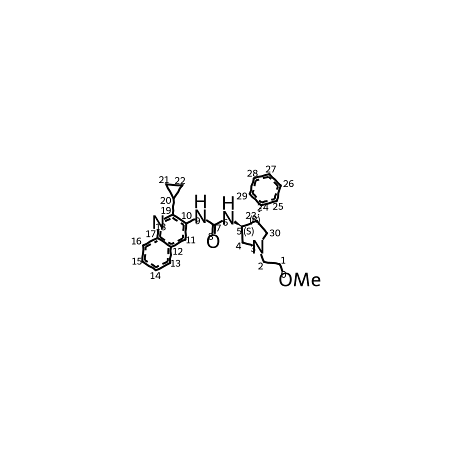 COCCN1C[C@@H](NC(=O)Nc2cc3ccccc3nc2C2CC2)[C@H](c2ccccc2)C1